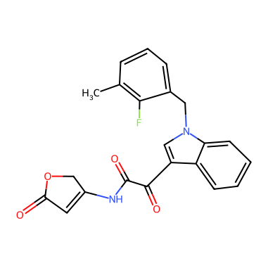 Cc1cccc(Cn2cc(C(=O)C(=O)NC3=CC(=O)OC3)c3ccccc32)c1F